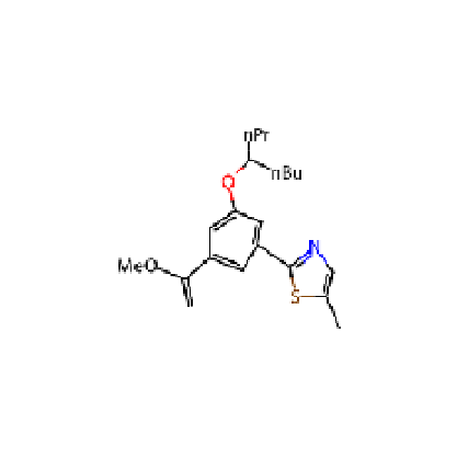 C=C(OC)c1cc(OC(CCC)CCCC)cc(-c2ncc(C)s2)c1